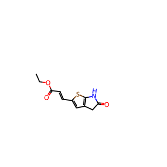 CCOC(=O)C=Cc1cc2c(s1)NC(=O)C2